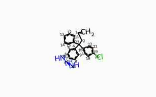 C=CCC(c1ccccc1)(c1ccccc1)c1ccc(Cl)cc1.N=[N+]=N